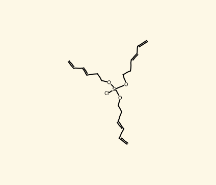 C=CC=CCCO[Si](Cl)(OCCC=CC=C)OCCC=CC=C